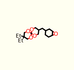 CCC1(CC)COC2(OCC(CC3CCC4OC4C3)CO2)OC1